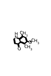 COc1cc(C)c2[nH]ccc(=O)c2c1C